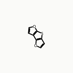 c1cc2c(o1)sc1ccoc12